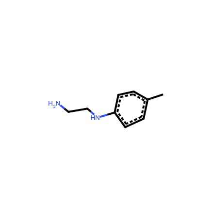 Cc1ccc(NCCN)cc1